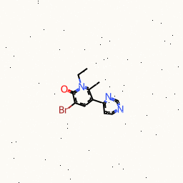 CCn1c(C)c(-c2ccncn2)cc(Br)c1=O